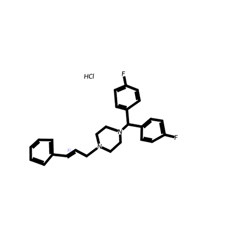 Cl.Fc1ccc(C(c2ccc(F)cc2)N2CCN(C/C=C/c3ccccc3)CC2)cc1